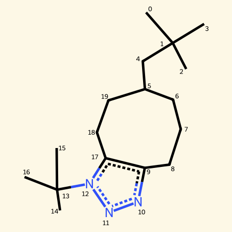 CC(C)(C)CC1CCCc2nnn(C(C)(C)C)c2CC1